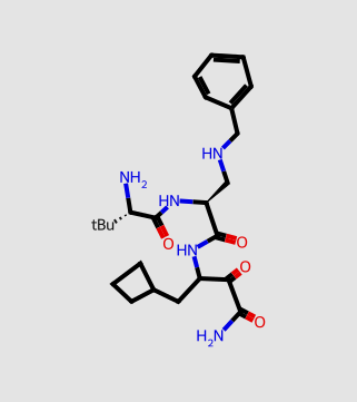 CC(C)(C)[C@H](N)C(=O)N[C@@H](CNCc1ccccc1)C(=O)NC(CC1CCC1)C(=O)C(N)=O